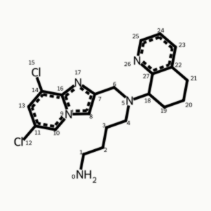 NCCCCN(Cc1cn2cc(Cl)cc(Cl)c2n1)C1CCCc2cccnc21